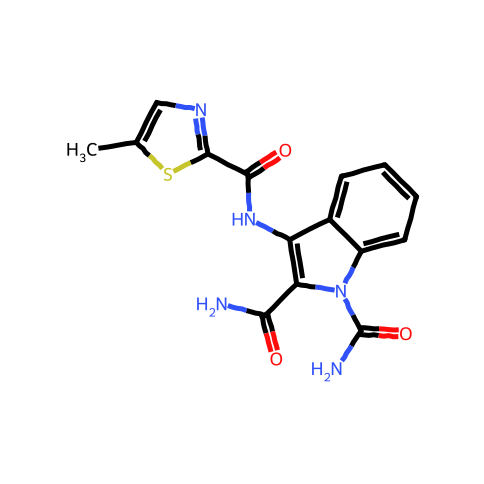 Cc1cnc(C(=O)Nc2c(C(N)=O)n(C(N)=O)c3ccccc23)s1